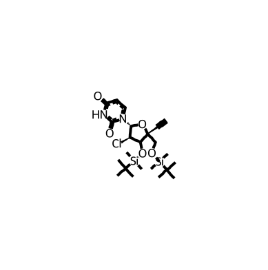 C#C[C@]1(CO[Si](C)(C)C(C)(C)C)O[C@@H](n2ccc(=O)[nH]c2=O)[C@H](Cl)C1O[Si](C)(C)C(C)(C)C